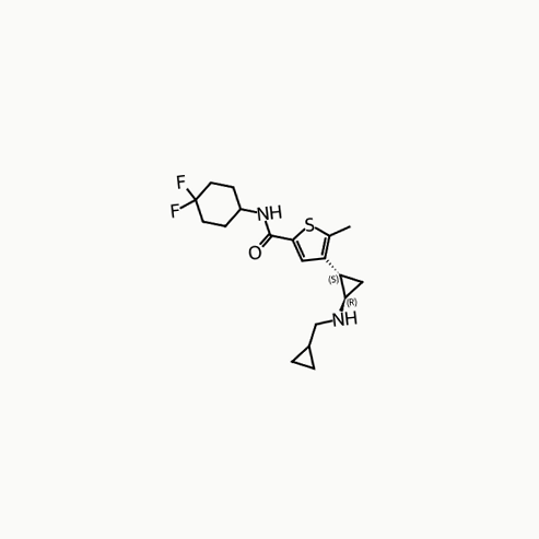 Cc1sc(C(=O)NC2CCC(F)(F)CC2)cc1[C@@H]1C[C@H]1NCC1CC1